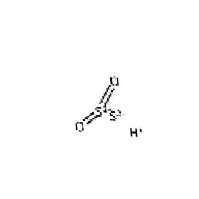 O=[S+2]=O.[H+].[S-2]